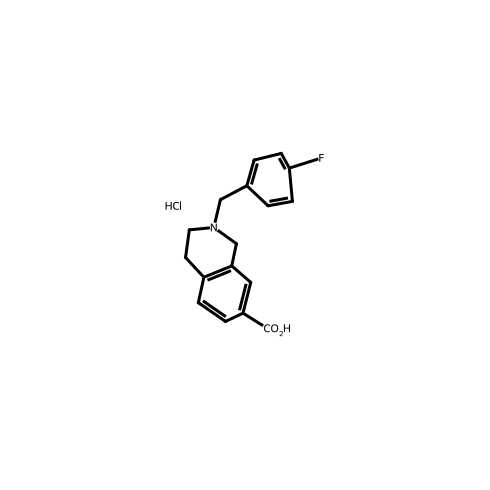 Cl.O=C(O)c1ccc2c(c1)CN(Cc1ccc(F)cc1)CC2